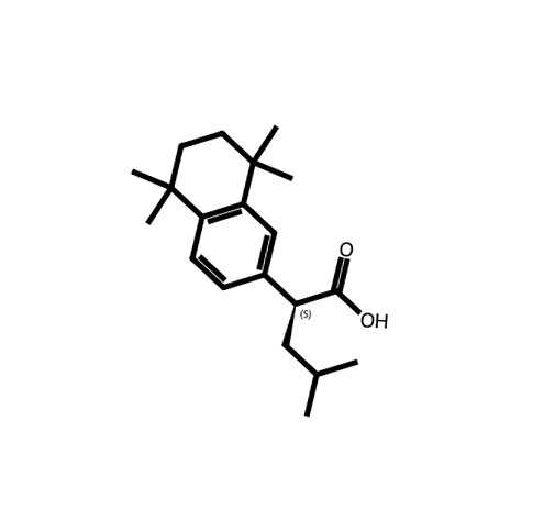 CC(C)C[C@H](C(=O)O)c1ccc2c(c1)C(C)(C)CCC2(C)C